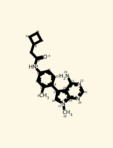 Cc1cc(NC(=O)CC2CCC2)ccc1-c1cn(C)c2ncnc(N)c12